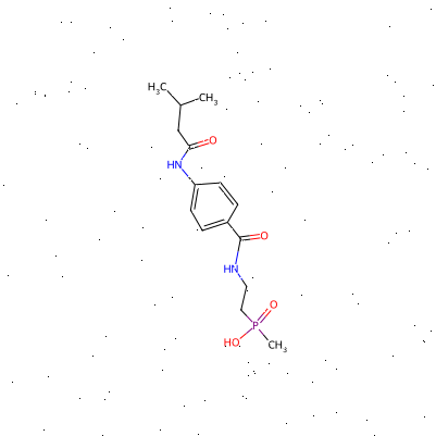 CC(C)CC(=O)Nc1ccc(C(=O)NCCP(C)(=O)O)cc1